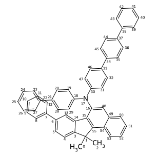 CC1(C)c2ccc(-c3ccccc3)cc2-c2c(N(c3ccc(-c4ccccc4)cc3)c3ccc(-c4ccc(-c5ccccc5)cc4)cc3)cc3ccccc3c21